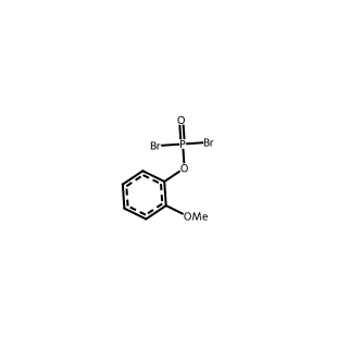 COc1ccccc1OP(=O)(Br)Br